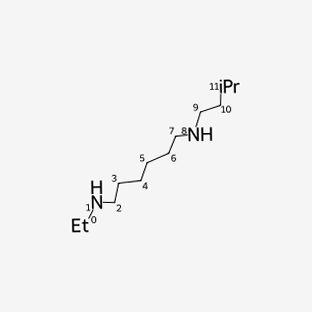 CCNCCCCCCNCCC(C)C